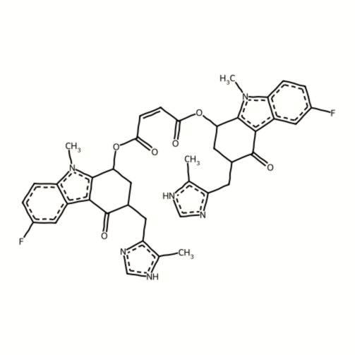 Cc1[nH]cnc1CC1CC(OC(=O)/C=C\C(=O)OC2CC(Cc3nc[nH]c3C)C(=O)c3c2n(C)c2ccc(F)cc32)c2c(c3cc(F)ccc3n2C)C1=O